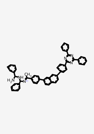 C/C(=N\C(NC(N)c1ccccc1)c1ccccc1)c1ccc(-c2ccc3ccc(-c4ccc(-c5nc(-c6ccccc6)nc(-c6ccccc6)n5)cc4)cc3c2)cc1